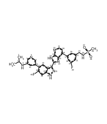 CC(C)Nc1cncc(-c2cc3c(-c4nc5c(-c6cc(F)cc(CNS(C)(=O)=O)c6)ccnc5[nH]4)n[nH]c3cc2F)c1